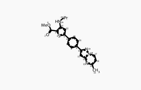 COC(=O)c1sc(-c2ccc(-c3cc4nc(C)ccn4n3)cc2)cc1NC(C)C